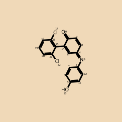 O=C1C=CC(=Nc2ccc(O)cc2)C=C1c1c(Cl)cccc1Cl